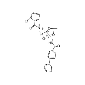 CC1(C)O[C@@H]2[C@@H](CNC(=O)c3ccccc3Cl)OC[C@]2(CNC(=O)c2ccc(-c3ccccc3)cc2)O1